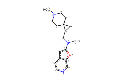 O=CN(CC1CC12CCN(C(=O)O)CC2)c1cc2ccncc2o1